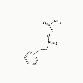 NC(=O)OOC(=O)CCc1ccccc1